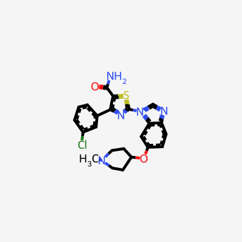 CN1CCC(Oc2ccc3ncn(-c4nc(-c5cccc(Cl)c5)c(C(N)=O)s4)c3c2)CC1